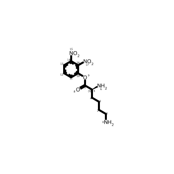 NCCCC[C@H](N)C(=O)Oc1cccc([N+](=O)[O-])c1[N+](=O)[O-]